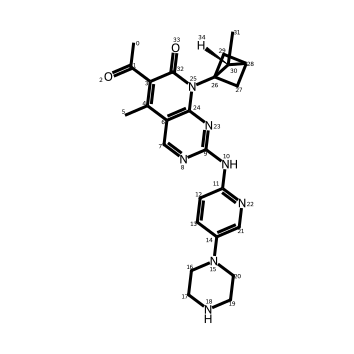 CC(=O)c1c(C)c2cnc(Nc3ccc(N4CCNCC4)cn3)nc2n(C23CC(C2)[C@H]3C)c1=O